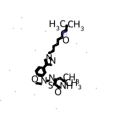 CC(C)/C=C/C(=O)CCCCCn1cc(-c2ccc3c(c2)N(c2nc4c(s2)C(=O)NC(C)(C)C4)CCO3)cn1